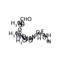 CN(OC(=O)CCCOc1ccc2c(c1)N(C)CC/C2=N\NC(=O)CC(C)(C)SSCCC(=O)N1CCN(c2ccc(C(=O)NCc3ccc(NC(=O)C4CC4c4cccnc4)cc3F)cc2)CC1)C(=O)CCC=O